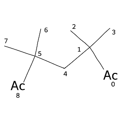 CC(=O)C(C)(C)CC(C)(C)C(C)=O